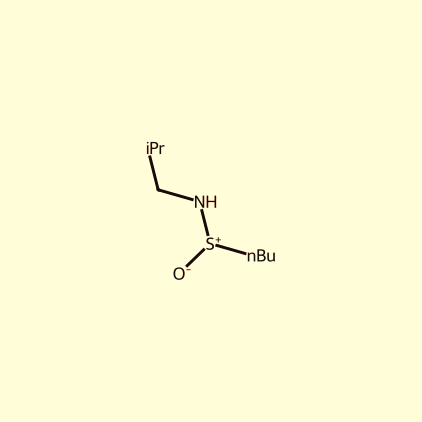 CCCC[S+]([O-])NCC(C)C